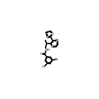 CC(CNC(=O)c1cc(Cl)cc(Br)c1)c1nccnc1-c1nccs1